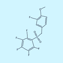 COc1ccc(CS(=O)(=O)c2c(F)c(F)c(F)c(F)c2F)cc1F